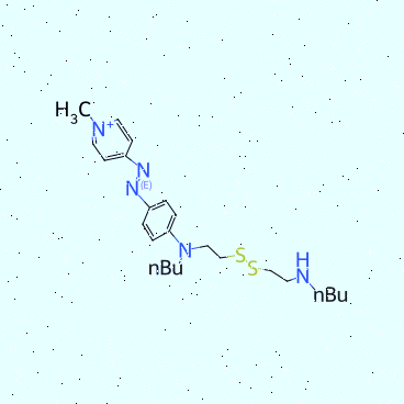 CCCCNCCSSCCN(CCCC)c1ccc(/N=N/c2cc[n+](C)cc2)cc1